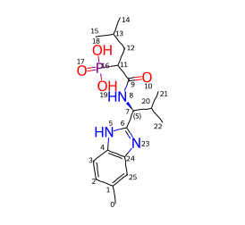 Cc1ccc2[nH]c([C@@H](NC(=O)C(CC(C)C)P(=O)(O)O)C(C)C)nc2c1